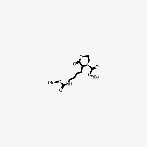 CC(C)(C)OC(=O)NCCCCC1C(=O)OCCN1C(=O)OC(C)(C)C